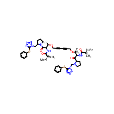 CN[C@@H](C)C(=O)NC(C(=O)C1CCCN1Cn1nnnc1Sc1ccccc1)C(C)OCC#CC#CCOC(C)C(NC(=O)[C@H](C)NC)C(=O)N1CCCC1Cn1nnnc1Sc1ccccc1